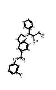 O=C(Nc1cccc(Cl)c1)c1ccc2c(c1)CCN2[C@@H](c1ccccc1)[C@H](O)CO